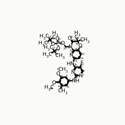 COc1cc(Nc2ncc(F)c(Nc3ccc4c(n3)N(COP(=O)(OC(C)(C)C)OC(C)(C)C)C(=O)C(C)(C)O4)n2)cc(C)c1OC